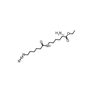 CCOC(=O)[C@@H](N)CCCCNC(=O)CCCCCN=[N+]=[N-]